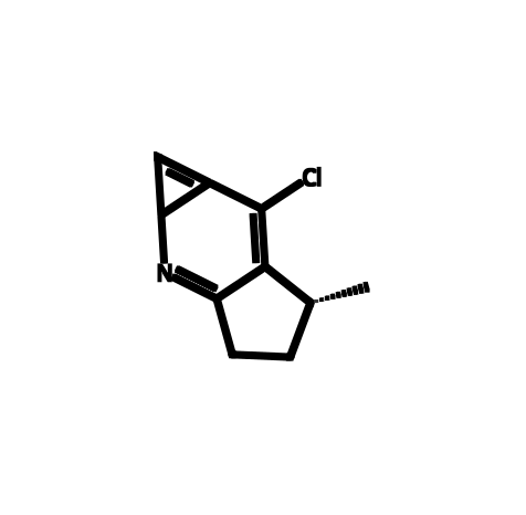 C[C@@H]1CCC2=NC3C=C3C(Cl)=C21